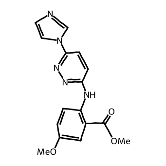 COC(=O)c1cc(OC)ccc1Nc1ccc(-n2ccnc2)nn1